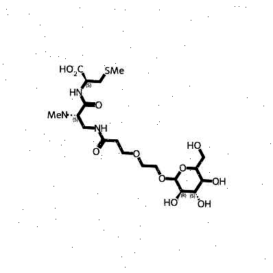 CN[C@@H](CNC(=O)CCOCCOC1OC(CO)C(O)[C@H](O)[C@H]1O)C(=O)N[C@H](CSC)C(=O)O